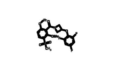 COc1c(S(C)(=O)=O)ccc(OC(C)C)c1C(=O)N1CC(Oc2c(F)cc(F)cc2F)C1